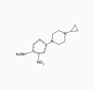 CC(=O)Nc1ccc(N2CCN(C3CC3)CC2)cc1[N+](=O)[O-]